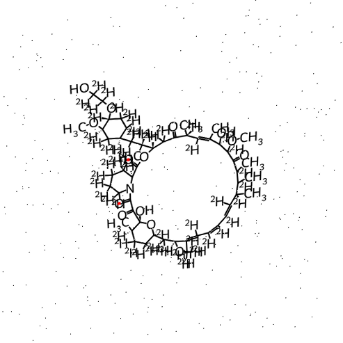 [2H]C1=C([2H])/C([2H])=C(\C([2H])([2H])[2H])[C@@]([2H])(OC([2H])([2H])[2H])C([2H])([2H])[C@@]2([2H])O[C@@](O)(C(=O)C(=O)N3C([2H])([2H])C([2H])([2H])C([2H])([2H])C([2H])([2H])[C@@]3([2H])C(=O)O[C@]([2H])([C@]([2H])(C)C([2H])([2H])[C@]3([2H])C([2H])([2H])C([2H])([2H])[C@@]([2H])(OC([2H])([2H])C([2H])([2H])O)[C@]([2H])(OC)C3([2H])[2H])C([2H])([2H])C(=O)[C@]([2H])(C)/C([2H])=C(\C)[C@@]([2H])(O)[C@@]([2H])(OC)C(=O)[C@]([2H])(C)C([2H])(C)[C@]([2H])(C)\C([2H])=C\1[2H])[C@]([2H])(C)C([2H])([2H])C2([2H])[2H]